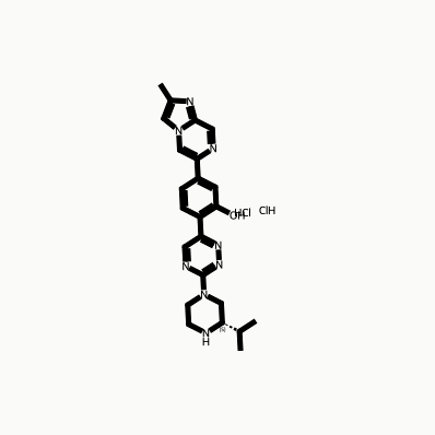 Cc1cn2cc(-c3ccc(-c4cnc(N5CCN[C@@H](C(C)C)C5)nn4)c(O)c3)ncc2n1.Cl.Cl